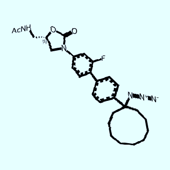 CC(=O)NC[C@H]1CN(c2ccc(-c3ccc(C4(N=[N+]=[N-])CCCCCCCCC4)cc3)c(F)c2)C(=O)O1